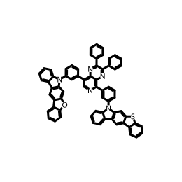 c1ccc(-c2nc3c(-c4cccc(-n5c6ccccc6c6cc7c(cc65)oc5ccccc57)c4)cnc(-c4cccc(-n5c6ccccc6c6cc7c(cc65)sc5ccccc57)c4)c3nc2-c2ccccc2)cc1